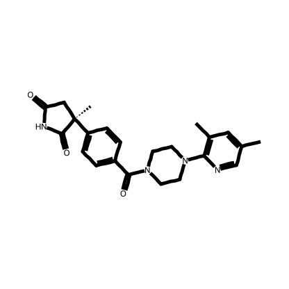 Cc1cnc(N2CCN(C(=O)c3ccc([C@]4(C)CC(=O)NC4=O)cc3)CC2)c(C)c1